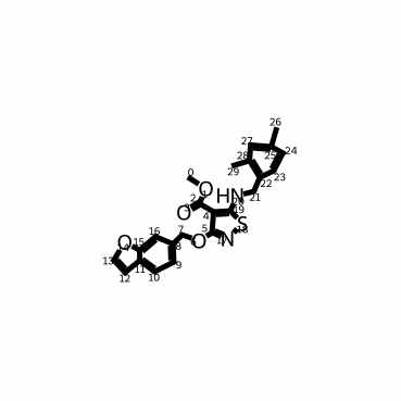 COC(=O)c1c(OCc2ccc3ccoc3c2)nsc1NCc1ccc(C)cc1C